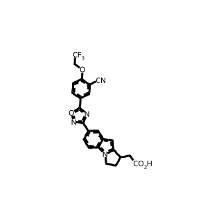 N#Cc1cc(-c2nc(-c3ccc4c(c3)cc3n4CCC3CC(=O)O)no2)ccc1OCC(F)(F)F